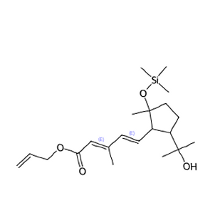 C=CCOC(=O)/C=C(C)/C=C/C1C(C(C)(C)O)CCC1(C)O[Si](C)(C)C